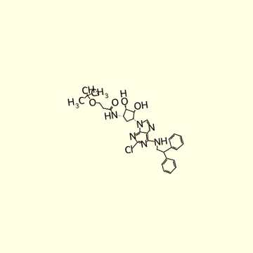 CC(C)(C)OCCC(=O)N[C@H]1C[C@@H](n2cnc3c(NCC(c4ccccc4)c4ccccc4)nc(Cl)nc32)[C@H](O)[C@@H]1O